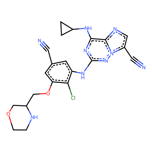 N#Cc1cc(Nc2nc(NC3CC3)c3ncc(C#N)n3n2)c(Cl)c(OCC2COCCN2)c1